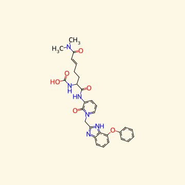 CN(C)C(=O)/C=C/CCC(NC(=O)O)C(=O)Nc1cccn(Cc2nc3cccc(Oc4ccccc4)c3[nH]2)c1=O